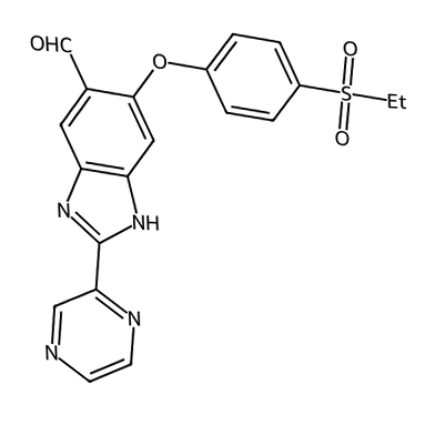 CCS(=O)(=O)c1ccc(Oc2cc3[nH]c(-c4cnccn4)nc3cc2C=O)cc1